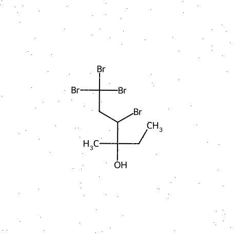 CCC(C)(O)C(Br)CC(Br)(Br)Br